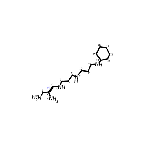 NC/C(N)=C/NCCCNCCCNC1CCCCC1